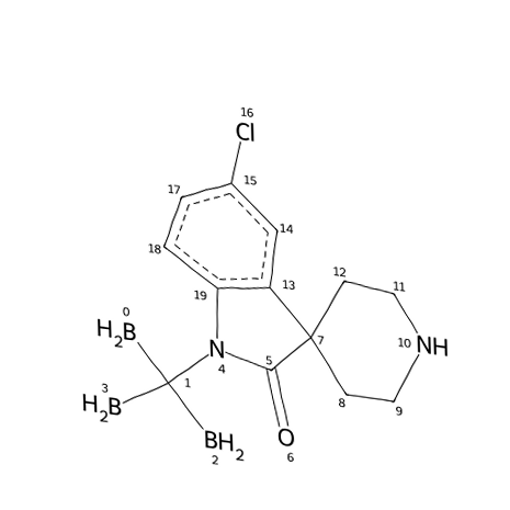 BC(B)(B)N1C(=O)C2(CCNCC2)c2cc(Cl)ccc21